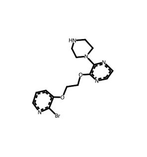 Brc1ncccc1OCCOc1nccnc1N1CCNCC1